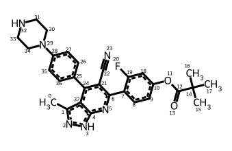 Cc1n[nH]c2nc(-c3ccc(OC(=O)C(C)(C)C)cc3F)c(C#N)c(-c3ccc(N4CCNCC4)cc3)c12